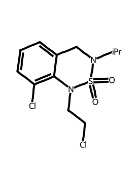 CC(C)N1Cc2cccc(Cl)c2N(CCCl)S1(=O)=O